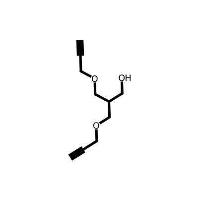 C#CCOCC(CO)COCC#C